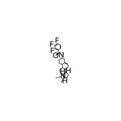 C[C@H]1[C@H]2CC[C@H]3[C@@H]4CC=C5C[C@@H](N(C)C(=O)c6ccc(F)c(F)c6F)CC[C@]5(C)C4CC[C@]23CN1C